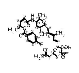 CC(/C=C/[C@H]1O[C@H](CC(N)=O)C[C@@]2(CO2)[C@@H]1O)=C\C[C@@H]1O[C@H](C)[C@H](NC(=O)/C=C\C(C)OC(=O)c2ccc(F)cc2)C[C@@H]1C